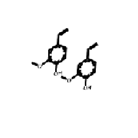 C=Cc1ccc(O)c(OC)c1.C=Cc1ccc(O)c(OC)c1